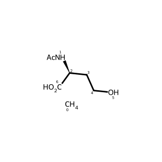 C.CC(=O)N[C@@H](CCO)C(=O)O